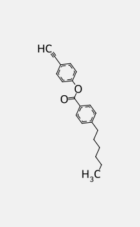 C#Cc1ccc(OC(=O)c2ccc(CCCCCC)cc2)cc1